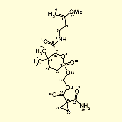 C=C(CCNC(=O)[C@@H]1OP(=O)(OCOC(=O)C2(C(N)=O)CC2)CCC1(C)C)OC